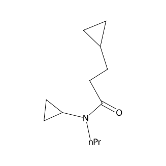 CCCN(C(=O)CCC1CC1)C1CC1